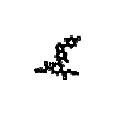 Cc1cc2c(cnn2-c2ccc(F)cc2)cc1C1CN(C(=O)OC(C)(C)C)CCC(C(=O)OC(C)(C)C)N1